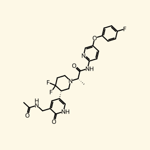 CC(=O)NCc1cc([C@H]2CN([C@@H](C)C(=O)Nc3ccc(Oc4ccc(F)cc4)cn3)CCC2(F)F)c[nH]c1=O